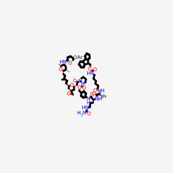 CC(=O)O[C@@H](C)/C=C\C(=O)N[C@@H]1C[C@H](C)[C@H](C/C=C(C)/C=C/[C@@H]2C[C@]3(CO3)C[C@@H](CC(=O)N3CCCCN3C(=O)OCc3ccc(NC(=O)[C@H](CCCNC(N)=O)NC(=O)[C@@H](NC(=O)CCCCCNC(=O)OCC4c5ccccc5-c5ccccc54)C(C)C)cc3)O2)O[C@@H]1C